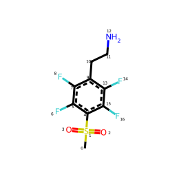 CS(=O)(=O)c1c(F)c(F)c(CCN)c(F)c1F